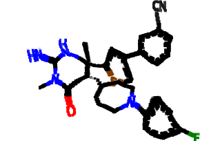 CN1C(=N)N[C@](C)(c2cc(-c3cccc(C#N)c3)cs2)[C@H](C2CCN(c3ccc(F)cc3)CC2)C1=O